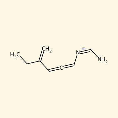 C=C(C=C=C/N=C\N)CC